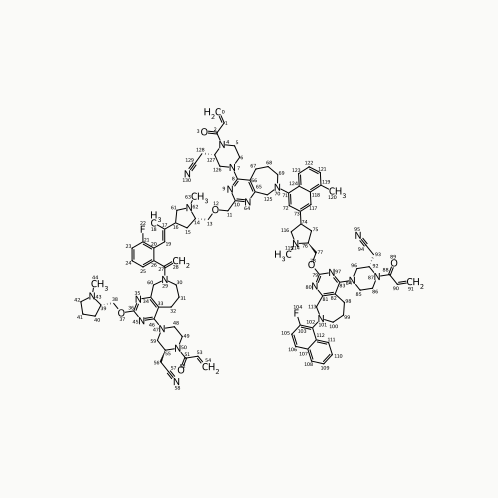 C=CC(=O)N1CCN(c2nc(COC[C@@H]3CC(/C(C)=C/c4c(F)cccc4C(=C)N4CCCc5c(nc(OC[C@@H]6CCCN6C)nc5N5CCN(C(=O)C=C)[C@@H](CC#N)C5)C4)CN3C)nc3c2CCCN(c2cc(C4C[C@@H](COc5nc6c(c(N7CCN(C(=O)C=C)[C@@H](CC#N)C7)n5)CCCN(c5c(F)ccc7ccccc57)C6)N(C)C4)cc4c(C)cccc24)C3)C[C@@H]1CC#N